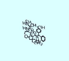 CCC1(CC)CC2OCC[C@H](NC(=O)[C@H](C)NC)C(=O)N2C1C(=O)NC(c1ccccc1)c1ccccc1.Cl